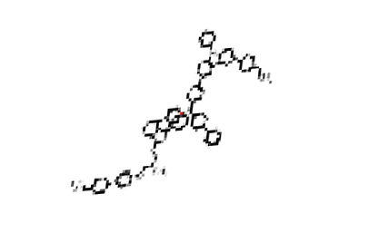 C=CC1=CCC(c2ccc(OCC(C)CCC3CC4(C5C=CC=CC5)C5=C(CCC=C53)c3ccc(N(C5=CC=C(C6=CC7=C(CC6)N(c6ccccc6)C6=CC=C(C8=CC=C(C=C)CC8)CC67)CC5)C5=CC=C(c6ccccc6)CC5)cc34)cc2)C=C1